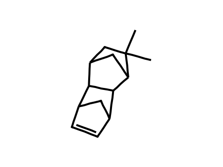 CC1(C)CC2CC1C1C3C=CC(C3)C21